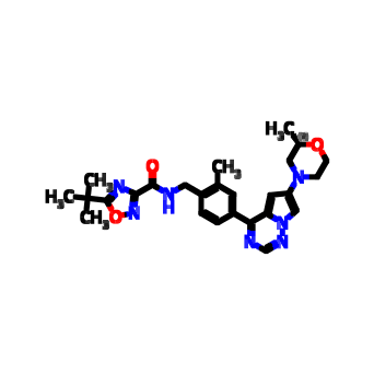 Cc1cc(-c2ncnn3cc(N4CCO[C@H](C)C4)cc23)ccc1CNC(=O)c1noc(C(C)(C)C)n1